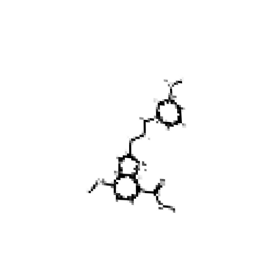 COC(=O)c1ccc(OC)c2nc(CCCc3cccc(OC)c3)[nH]c12